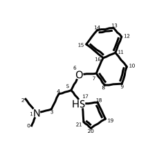 CN(C)CCC(Oc1cccc2ccccc12)[SH]1C=CC=C1